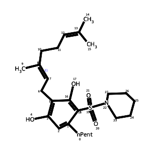 CCCCCc1cc(O)c(C/C=C(\C)CCC=C(C)C)c(O)c1S(=O)(=O)N1CCCCC1